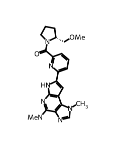 CNc1nc2[nH]c(-c3cccc(C(=O)N4CCC[C@@H]4COC)n3)cc2c2c1ncn2C